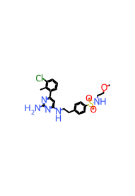 COCCNS(=O)(=O)c1ccc(CCNc2cc(-c3cccc(Cl)c3C)nc(N)n2)cc1